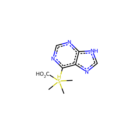 C[SH](C)(C)(C(=O)O)c1ncnc2[nH]cnc12